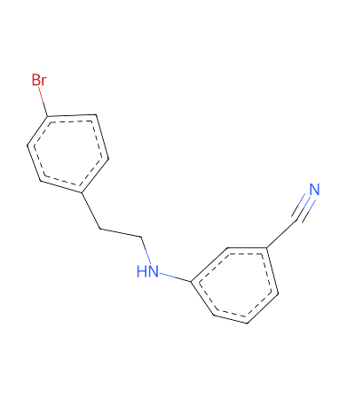 N#Cc1cccc(NCCc2ccc(Br)cc2)c1